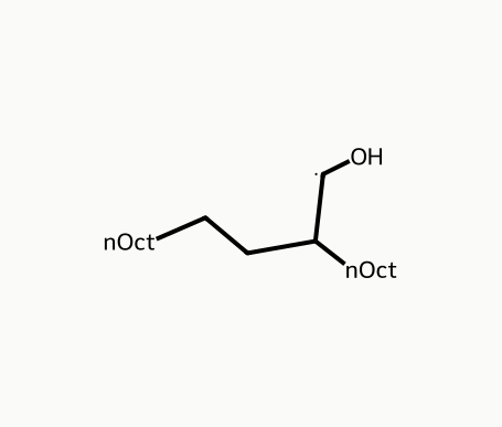 CCCCCCCCCCC([CH]O)CCCCCCCC